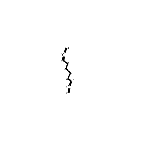 C=C=CCCCCC=C=C